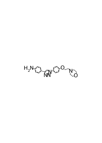 Nc1ccc(-c2cn(-c3ccc(OCCN4CCOCC4)cc3)nn2)cc1